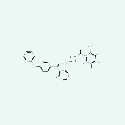 C[S+]([O-])c1c(F)c(F)c(F)c(F)c1C(=O)N1CC(n2nc(-c3ccc(Oc4ccccc4)cc3)c3c(N)ncnc32)C1